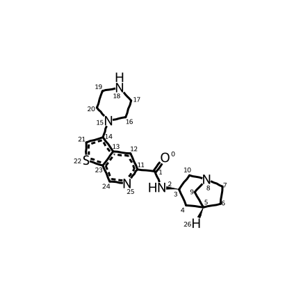 O=C(N[C@@H]1C[C@H]2CCN(C2)C1)c1cc2c(N3CCNCC3)csc2cn1